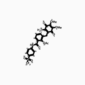 COC1=C(OC)C(=O)C(Cc2cccc(C(=O)Nc3ccc(S(=O)(=O)C(F)(F)F)cc3)c2OC(C)=O)=C(C)C1=O